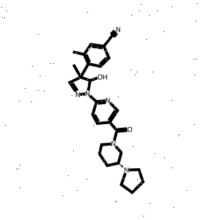 Cc1cc(C#N)ccc1C1(C)C=NN(c2ccc(C(=O)N3CCC[C@@H](N4CCCC4)C3)cn2)C1O